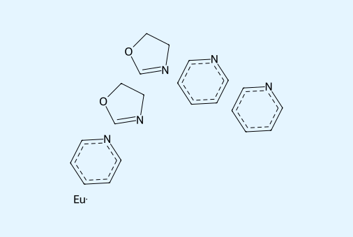 C1=NCCO1.C1=NCCO1.[Eu].c1ccncc1.c1ccncc1.c1ccncc1